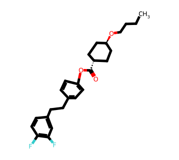 CCCCO[C@H]1CC[C@H](C(=O)Oc2ccc(CCc3ccc(F)c(F)c3)cc2)CC1